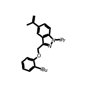 C=C(C)c1ccc2c(c1)c(COc1ccccc1C(C)CC)nn2C(C)C